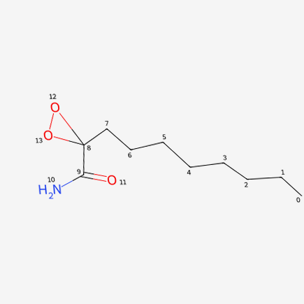 CCCCCCCCC1(C(N)=O)OO1